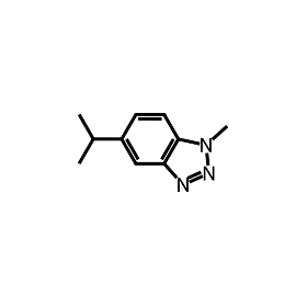 CC(C)c1ccc2c(c1)nnn2C